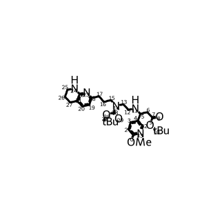 COc1ccc(C(CC(=O)OC(C)(C)C)NCCN(CCCc2ccc3c(n2)NCCC3)C(=O)OC(C)(C)C)cn1